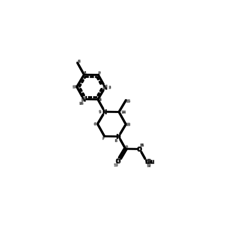 Cc1cnc(N2CCN(C(=O)OC(C)(C)C)CC2C)nc1